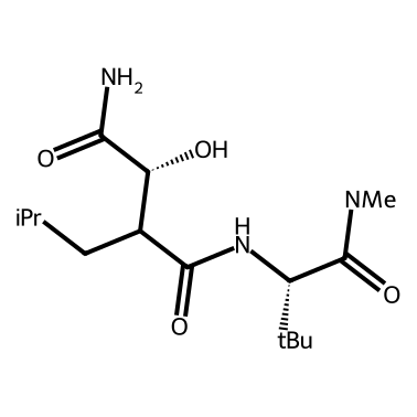 CNC(=O)[C@@H](NC(=O)C(CC(C)C)[C@@H](O)C(N)=O)C(C)(C)C